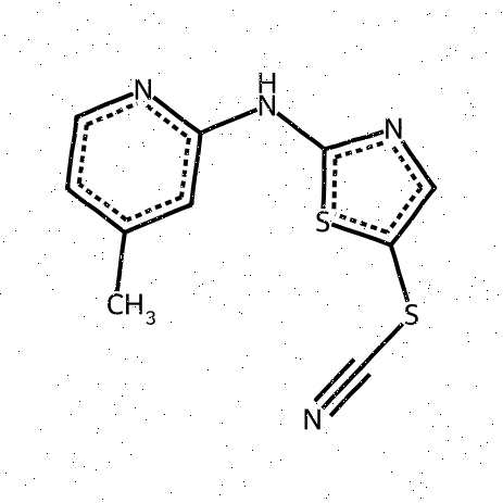 Cc1ccnc(Nc2ncc(SC#N)s2)c1